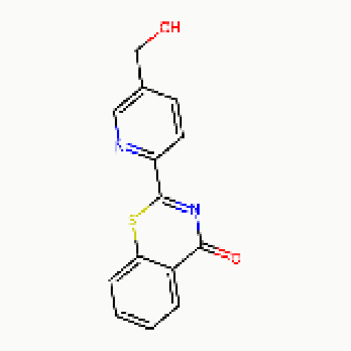 O=c1nc(-c2ccc(CO)cn2)sc2ccccc12